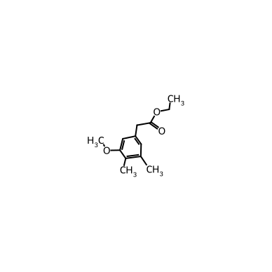 CCOC(=O)Cc1cc(C)c(C)c(OC)c1